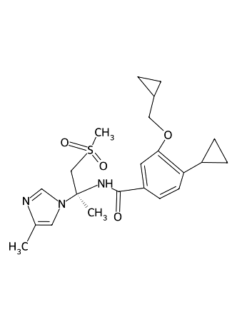 Cc1cn([C@@](C)(CS(C)(=O)=O)NC(=O)c2ccc(C3CC3)c(OCC3CC3)c2)cn1